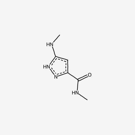 CNC(=O)c1cc(NC)[nH]n1